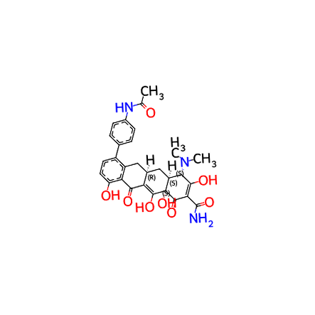 CC(=O)Nc1ccc(-c2ccc(O)c3c2C[C@H]2C[C@H]4[C@H](N(C)C)C(O)=C(C(N)=O)C(=O)[C@@]4(O)C(O)=C2C3=O)cc1